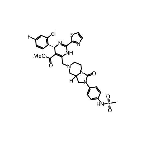 COC(=O)C1=C(CN2CCN3C(=O)N(c4ccc(NS(C)(=O)=O)cc4)C[C@@H]3C2)NC(c2nccs2)=N[C@H]1c1ccc(F)cc1Cl